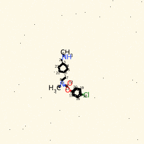 CNC[C@H]1CC[C@H](CCN(C)C(=O)Oc2ccc(Cl)cc2)CC1